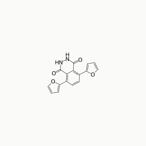 O=c1[nH][nH]c(=O)c2c(-c3ccco3)ccc(-c3ccco3)c12